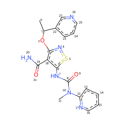 CC(Oc1nsc(NC(=O)N(C)c2ccccn2)c1C(N)=O)c1cccnc1